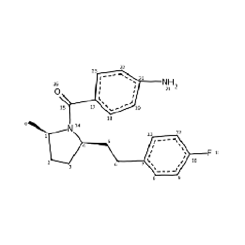 C[C@@H]1CC[C@H](CCc2ccc(F)cc2)N1C(=O)c1ccc(N)cc1